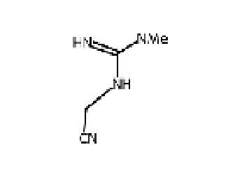 CNC(=N)NCC#N